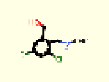 O=CNCc1c(Cl)cc(Cl)cc1CO